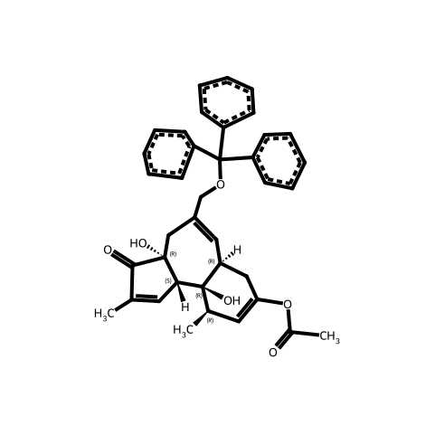 CC(=O)OC1=C[C@@H](C)[C@@]2(O)[C@@H](C=C(COC(c3ccccc3)(c3ccccc3)c3ccccc3)C[C@]3(O)C(=O)C(C)=C[C@@H]23)C1